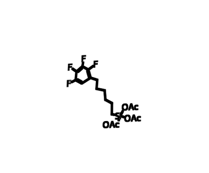 CC(=O)O[Si](CCCCCCc1cc(F)c(F)c(F)c1F)(OC(C)=O)OC(C)=O